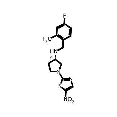 O=[N+]([O-])c1cnc(N2CC[C@H](NCc3ccc(F)cc3C(F)(F)F)C2)s1